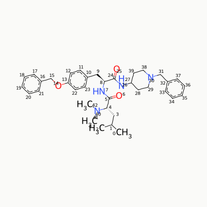 CC(C)C[C@@H](C(=O)N[C@@H](Cc1ccc(OCc2ccccc2)cc1)C(=O)NC1CCN(Cc2ccccc2)CC1)N(C)C